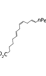 CCCCC/C=C/C/C=C\C/C=C/CCCCC(=O)O